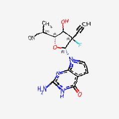 C#C[C@@]1(F)C(O)[C@@H]([C@H](C)N=O)O[C@H]1n1ccc2c(=O)[nH]c(N)nc21